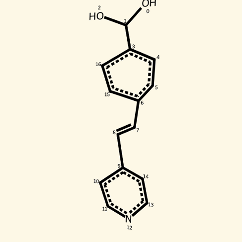 OC(O)c1ccc(C=Cc2ccncc2)cc1